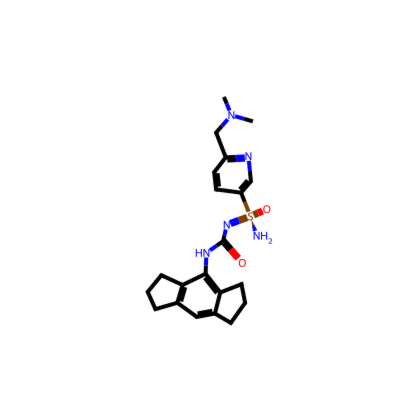 CN(C)Cc1ccc([S@](N)(=O)=NC(=O)Nc2c3c(cc4c2CCC4)CCC3)cn1